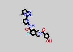 C[C@H]1CCc2nnc(-c3cccc(NC(=O)c4cc5c(cc4F)CCN(C(=O)C4CC[C@@H](O)C4)C5)n3)n21